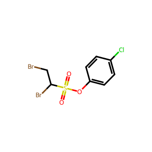 O=S(=O)(Oc1ccc(Cl)cc1)C(Br)CBr